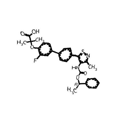 Cc1nsc(-c2ccc(-c3ccc(OC(C)(C)C(=O)O)c(F)c3)cc2)c1NC(=O)O[C@H](C)c1ccccc1